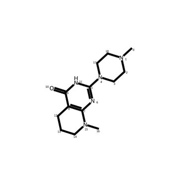 CN1CCN(c2nc3c(c(=O)[nH]2)CCCN3C)CC1